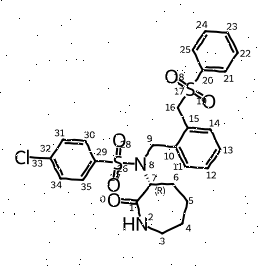 O=C1NCCCC[C@H]1N(Cc1ccccc1CS(=O)(=O)c1ccccc1)S(=O)(=O)c1ccc(Cl)cc1